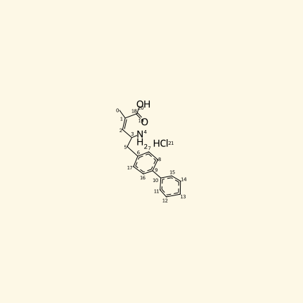 CC(=CC(N)Cc1ccc(-c2ccccc2)cc1)C(=O)O.Cl